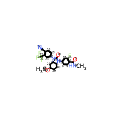 CNC(=O)c1ccc(N2C(=O)N(c3ccc(C#N)c(C(F)(F)F)c3)C3CC(OC)CCC32)cc1F